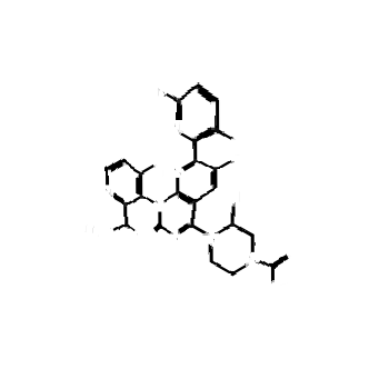 Cc1ccnc(C(C)C)c1-n1c(=O)nc(N2CCN(C(=O)O)CC2C)c2cc(F)c(-c3nc(N)ccc3Cl)nc21